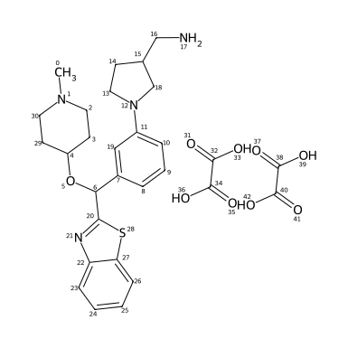 CN1CCC(OC(c2cccc(N3CCC(CN)C3)c2)c2nc3ccccc3s2)CC1.O=C(O)C(=O)O.O=C(O)C(=O)O